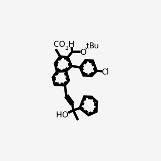 Cc1cc2ccc(C#CC(C)(O)c3ccccc3)cc2c(-c2ccc(Cl)cc2)c1C(OC(C)(C)C)C(=O)O